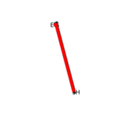 CCOS(=S)(=S)SSSSSSSSSSSSSSSSSSSSSSSSSSSSSSSSSSSSSSSSSSSSSSSSSSSSSSSSSSSSSSSSSSSSSSSSSSSSSSSSSSSSSSSSSSS